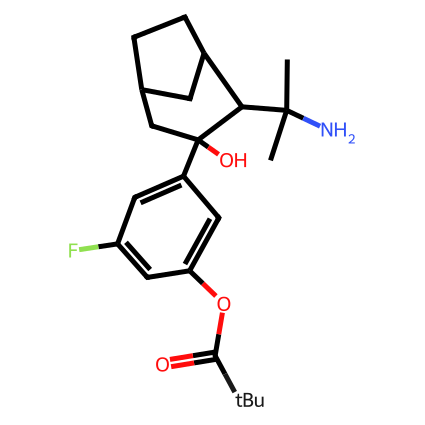 CC(C)(C)C(=O)Oc1cc(F)cc(C2(O)CC3CCC(C3)C2C(C)(C)N)c1